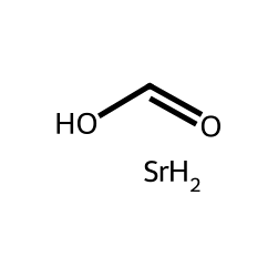 O=CO.[SrH2]